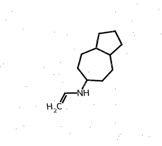 C=CNC1CCC2CCCC2CC1